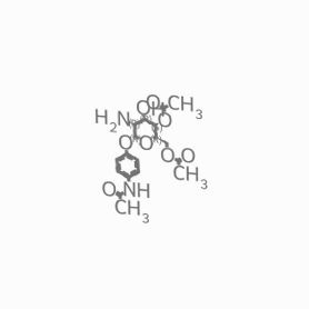 CC(=O)Nc1ccc(O[C@H]2O[C@H](COC(C)=O)[C@@H](OC(C)=O)[C@H](O)[C@H]2N)cc1